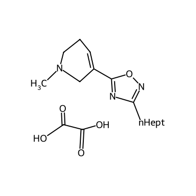 CCCCCCCc1noc(C2=CCCN(C)C2)n1.O=C(O)C(=O)O